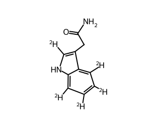 [2H]c1[nH]c2c([2H])c([2H])c([2H])c([2H])c2c1CC(N)=O